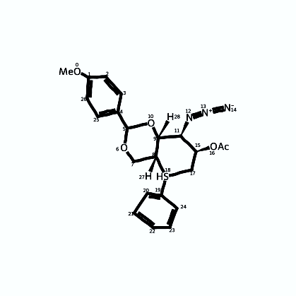 COc1ccc(C2OC[C@@H]3[C@H](O2)[C@@H](N=[N+]=[N-])[C@@H](OC(C)=O)C[SH]3c2ccccc2)cc1